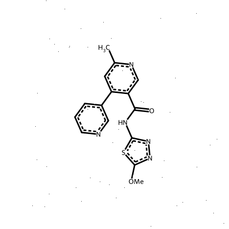 COc1nnc(NC(=O)c2cnc(C)cc2-c2cccnc2)s1